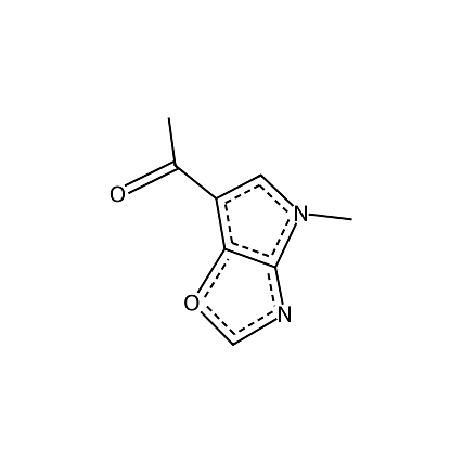 CC(=O)c1cn(C)c2ncoc12